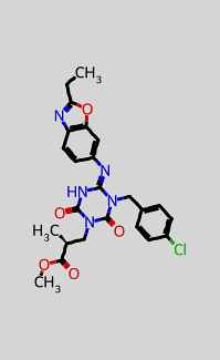 CCc1nc2ccc(/N=c3\[nH]c(=O)n(C[C@H](C)C(=O)OC)c(=O)n3Cc3ccc(Cl)cc3)cc2o1